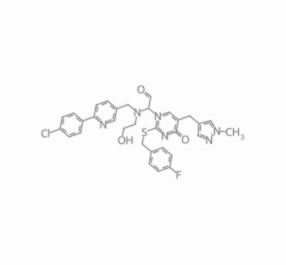 Cn1cc(Cc2cn(C(C=O)N(CCO)Cc3ccc(-c4ccc(Cl)cc4)nc3)c(SCc3ccc(F)cc3)nc2=O)cn1